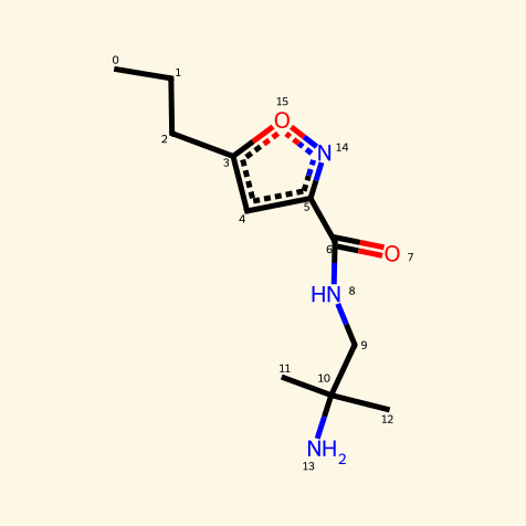 CCCc1cc(C(=O)NCC(C)(C)N)no1